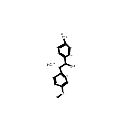 COc1ccc(CC(S)c2ccc(O)cc2)cc1.Cl